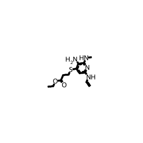 C=CNc1cc(SCCC(=O)OCC)c(N)c(NC)n1